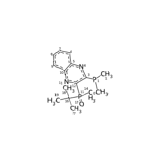 CP(C)c1nc2ccccc2nc1P(C)(=O)C(C)(C)C